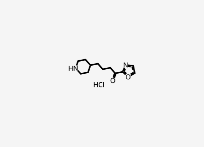 Cl.O=C(CCCC1CCNCC1)c1ncco1